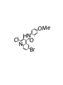 COc1c[c]c(NC(=O)c2c(C)c(Cl)nc3ccc(Br)cc23)cc1